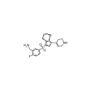 NCc1cc(S(=O)(=O)n2cc(C3=CCNCC3)c3ncccc32)ccc1F